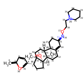 C=C1C=CC([C@H]2CC[C@]3(O)[C@@H]4CCC5=C/C(=N/OCCN6CCCCC6)CC[C@]5(C)[C@H]4CC[C@]23C)=CO1